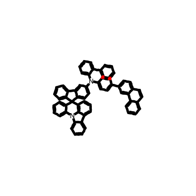 c1ccc(-c2ccccc2N(c2ccc(-c3ccc4ccc5ccccc5c4c3)cc2)c2ccc3c(c2)-c2ccccc2C32c3ccccc3-n3c4ccccc4c4cccc2c43)cc1